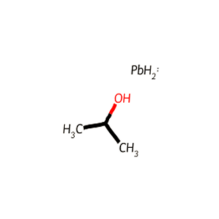 CC(C)O.[PbH2]